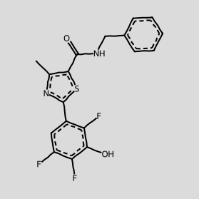 Cc1nc(-c2cc(F)c(F)c(O)c2F)sc1C(=O)NCc1ccccc1